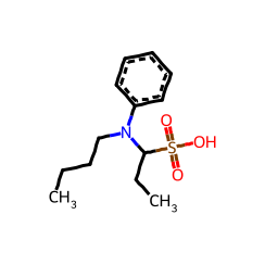 CCCCN(c1ccccc1)C(CC)S(=O)(=O)O